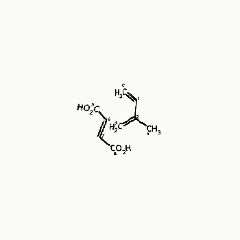 C=CC(=C)C.O=C(O)/C=C/C(=O)O